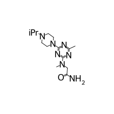 Cc1nc(N(C)CC(N)=O)nc(N2CCN(C(C)C)CC2)n1